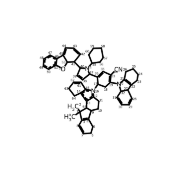 CC1(C)C2=C(CCC=C2)C2CCc3c(c4c(n3C3CC(N5C6=C(CCCC6)C6C=CC=CC65)=C(C#N)C=C3C3C=CC(C5C=CC=C6c7ccccc7OC65)N3C3CCCCC3)C=CCC4)C21